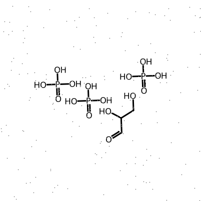 O=CC(O)CO.O=P(O)(O)O.O=P(O)(O)O.O=P(O)(O)O